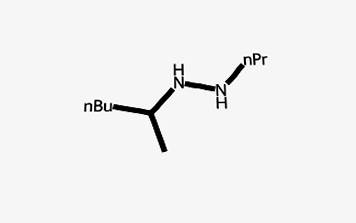 CCCCC(C)NNCCC